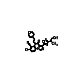 CC(CO)c1noc(-c2ncn3c2c(=O)n(CCN2CCOCC2)c2c(C#N)c(Cl)ccc23)n1